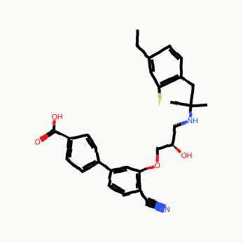 CCc1ccc(CC(C)(C)NC[C@@H](O)COc2cc(-c3ccc(C(=O)O)cc3)ccc2C#N)c(F)c1